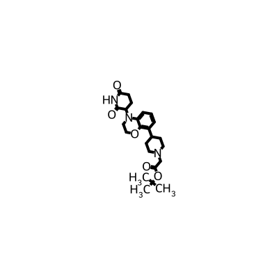 CC(C)(C)OC(=O)CN1CCC(c2cccc3c2OCCN3C2CCC(=O)NC2=O)CC1